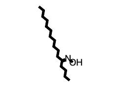 CCCCCCCCCCCC(CCCC)=NO